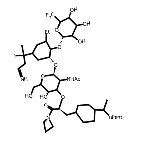 CCCCCC(C)C1CCC(C[C@H](OC2C(NC(C)=O)[C@H](O[C@@H]3CC(C(C)(I)CC=N)CC(CC)C3O[C@@H]3OC(C(F)(F)F)[C@@H](O)C(O)C3O)OC(CO)[C@@H]2O)C(=O)N2CCC2)CC1